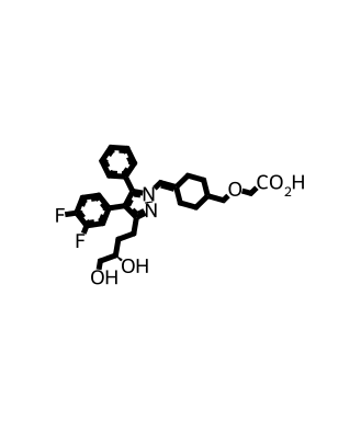 O=C(O)COCC1CCC(=Cn2nc(CC[C@H](O)CO)c(-c3ccc(F)c(F)c3)c2-c2ccccc2)CC1